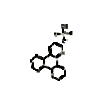 [O-][I+3]([O-])([O-])O.c1cnc2c(c1)c1ncccc1c1nccnc21